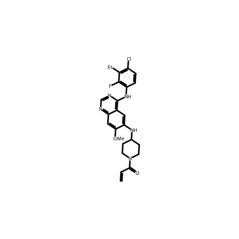 C=CC(=O)N1CCC(Nc2cc3c(Nc4ccc(Cl)c(CC)c4F)ncnc3cc2OC)CC1